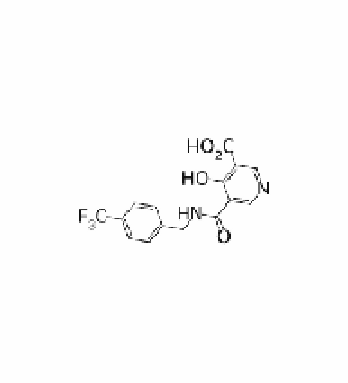 O=C(O)c1cncc(C(=O)NCc2ccc(C(F)(F)F)cc2)c1O